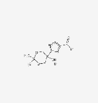 CC1(C)OCC(O)(c2ncc(S(=O)[O-])s2)CO1.[Li+]